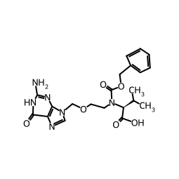 CC(C)[C@@H](C(=O)O)N(CCOCn1cnc2c(=O)[nH]c(N)nc21)C(=O)OCc1ccccc1